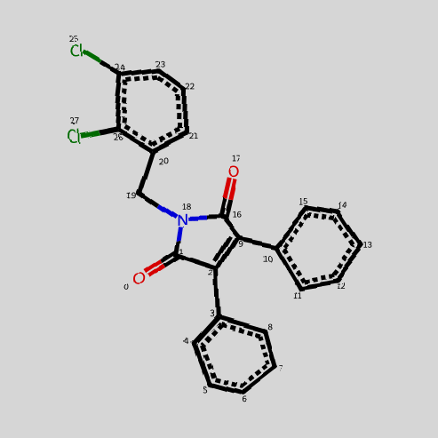 O=C1C(c2ccccc2)=C(c2ccccc2)C(=O)N1Cc1cccc(Cl)c1Cl